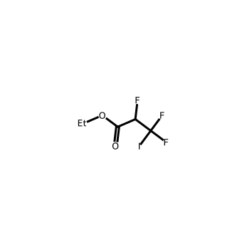 CCOC(=O)C(F)C(F)(F)I